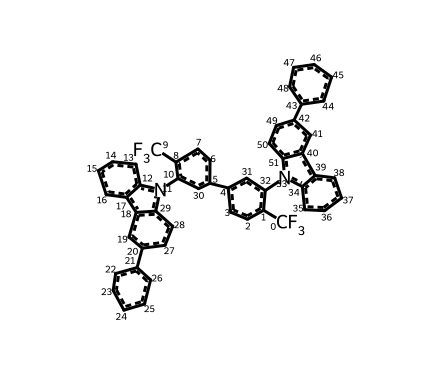 FC(F)(F)c1ccc(-c2ccc(C(F)(F)F)c(-n3c4ccccc4c4cc(-c5ccccc5)ccc43)c2)cc1-n1c2ccccc2c2cc(-c3ccccc3)ccc21